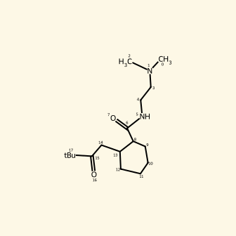 CN(C)CCNC(=O)C1CCCCC1CC(=O)C(C)(C)C